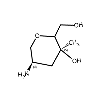 C[C@]1(O)C[C@@H](N)COC1CO